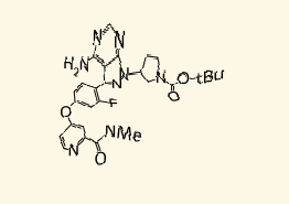 CNC(=O)c1cc(Oc2ccc(-c3nn(C4CCN(C(=O)OC(C)(C)C)C4)c4ncnc(N)c34)c(F)c2)ccn1